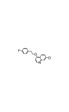 Fc1ccc(CCOc2ccnc3cc(Cl)ccc23)cc1